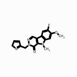 COc1cc2c(cc1F)c1cnn(CC3=NCC=C3)c(=O)c1n2C